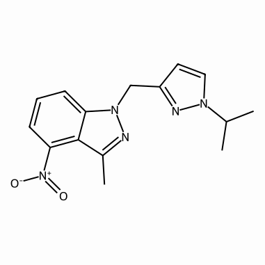 Cc1nn(Cc2ccn(C(C)C)n2)c2cccc([N+](=O)[O-])c12